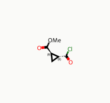 COC(=O)[C@@H]1C[C@H]1C(=O)Cl